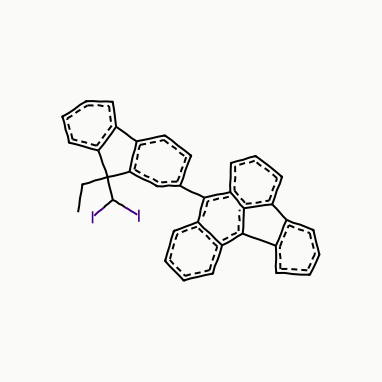 CCC1(C(I)I)c2ccccc2-c2ccc(-c3c4ccccc4c4c5c(cccc35)-c3ccccc3-4)cc21